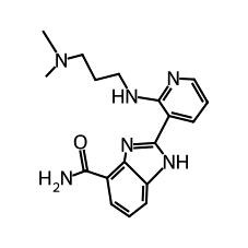 CN(C)CCCNc1ncccc1-c1nc2c(C(N)=O)cccc2[nH]1